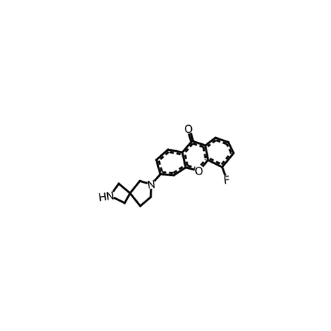 O=c1c2ccc(N3CCC4(CNC4)C3)cc2oc2c(F)cccc12